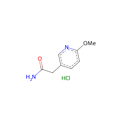 COc1ccc(CC(N)=O)cn1.Cl